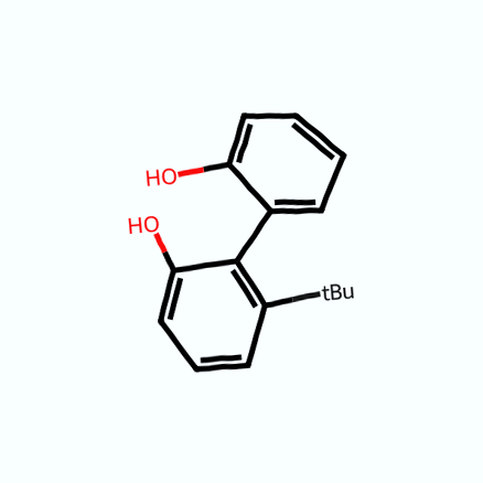 CC(C)(C)c1cccc(O)c1-c1ccccc1O